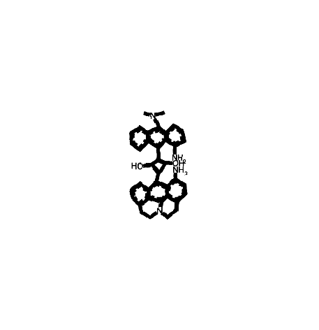 CN(C)c1c2ccccc2c(C2C(O)C(c3c4cccc5c4c4c6c(ccc(N)c36)CCN4CC5)C2O)c2c(N)cccc12